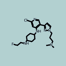 CN(C)CCCn1ccc(-c2cnc(Cl)cc2NC2CCC(NCCF)CC2)n1